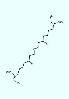 CC(C)(C)ON(C=O)CCCCC(Br)CCOCCC(Br)CCCCN(C=O)OC(C)(C)C